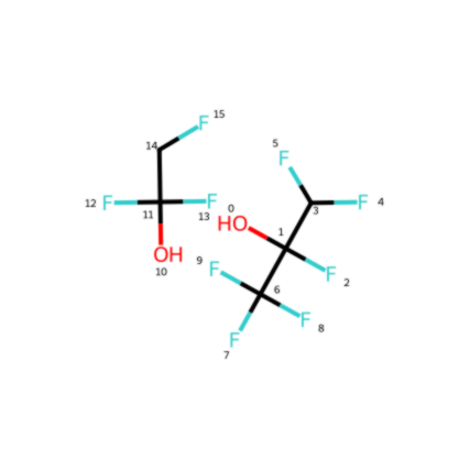 OC(F)(C(F)F)C(F)(F)F.OC(F)(F)CF